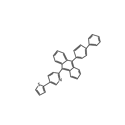 c1ccc(-c2ccc(-c3c4ccccc4c(-c4ccc(-c5cccs5)cn4)c4ccccc34)cc2)cc1